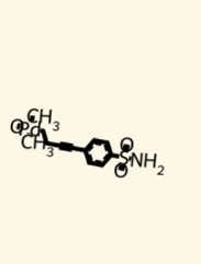 [CH3][Pd]([CH3])(=[O])[CH2]CC#Cc1ccc(S(N)(=O)=O)cc1